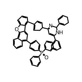 O=P(c1ccccc1)(c1ccccc1)c1ccc(-c2cc3c(oc4cccc(C5=CCC(C6=NC(C7=CCCC=C7)NC(c7ccccc7)=C6)C=C5)c43)c3ccccc23)cc1